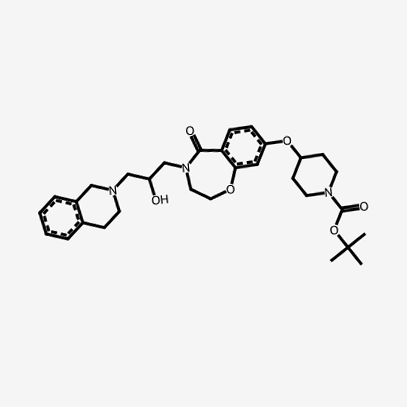 CC(C)(C)OC(=O)N1CCC(Oc2ccc3c(c2)OCCN(CC(O)CN2CCc4ccccc4C2)C3=O)CC1